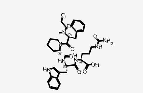 CN(C(=O)CCl)[C@@H](Cc1ccccc1)C(=O)N1CCCC[C@H]1C(=O)N[C@@H](Cc1c[nH]c2ccccc12)C(=O)N[C@@H](CCCNC(N)=O)C(=O)O